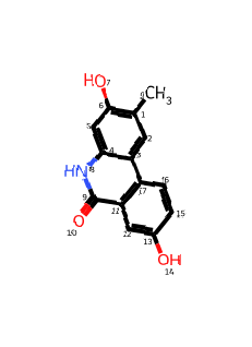 Cc1cc2c(cc1O)[nH]c(=O)c1cc(O)ccc12